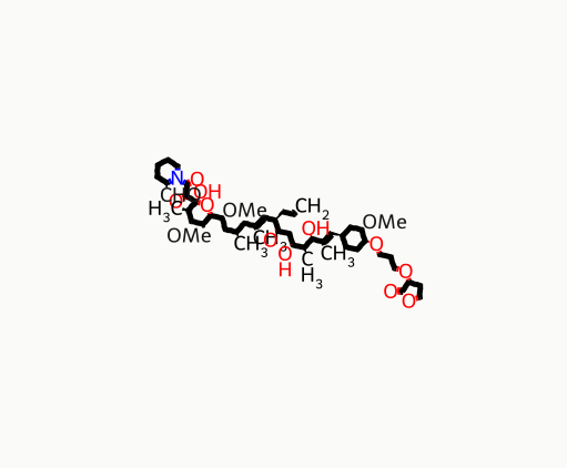 C=CC[C@H](/C=C(\C)C[C@H](C)C[C@H](OC)C1O[C@@](O)(C(=O)C(=O)N2CCCC[C@H]2C=O)[C@H](C)C[C@@H]1OC)C(=O)C[C@H](O)[C@@H](C)[C@H](O)/C(C)=C/[C@@H]1CC[C@@H](OCCCOC2CCOC2=O)[C@H](OC)C1